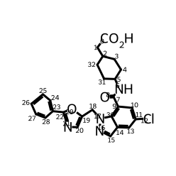 O=C(O)CC1CCC(NC(=O)c2cc(Cl)cc3cnn(Cc4cnc(-c5ccccc5)o4)c23)CC1